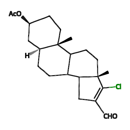 CC(=O)O[C@H]1CC[C@]2(C)C3CC[C@]4(C)C(Cl)=C(C=O)CC4C3CC[C@H]2C1